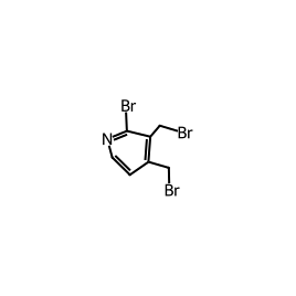 BrCc1ccnc(Br)c1CBr